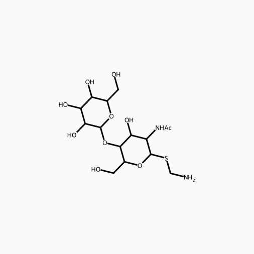 CC(=O)NC1C(SCN)OC(CO)C(OC2OC(CO)C(O)C(O)C2O)C1O